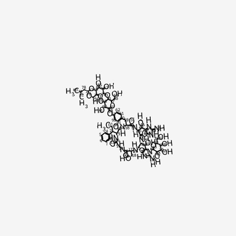 CCC(c1ccccc1)C1NC(=O)CNC(=O)C(CO)NC(=O)C(C(O)C2CNC(=N)N2C2OC(CO)C(O)C(O)C2O)NC(=O)C(C(O)C2CNC(=N)N2)NC(=O)C(Cc2ccc(OC3OC(CO)C(OC4OC5COC(CC(C)C)OC5C(O)C4O)C(O)C3O)cc2)NC1=O